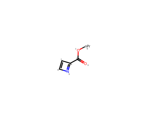 CCCOC(=O)C1=NC=C1